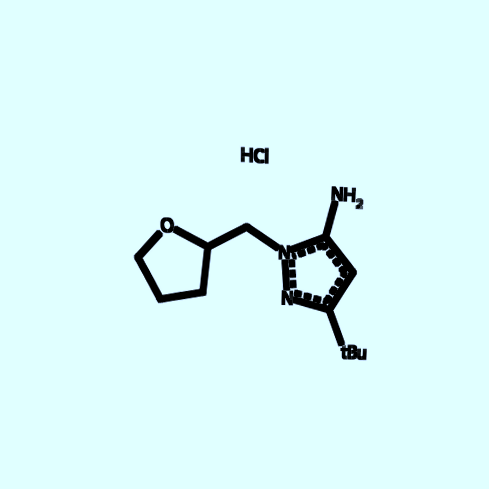 CC(C)(C)c1cc(N)n(CC2CCCO2)n1.Cl